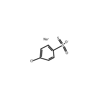 O=S([O-])(=S)c1ccc(Cl)cc1.[Na+]